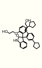 O=C1Nc2ccccc2C1(c1cc(C2CCCC2)ccc1OCCO)c1cc(C2CCCC2)ccc1OCCO